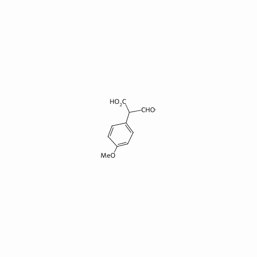 COc1ccc(C([C]=O)C(=O)O)cc1